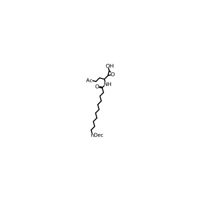 CCCCCCCCCCCCCCCCCCCCC(=O)NC(CCC(C)=O)C1OC1O